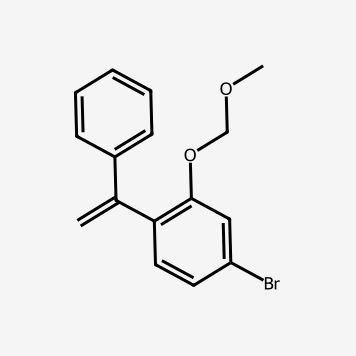 C=C(c1ccccc1)c1ccc(Br)cc1OCOC